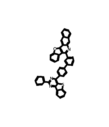 c1ccc(-c2nc(-c3ccc(-c4cccc(-c5nc6cc7ccccc7cc6c6oc7ccccc7c56)c4)cc3)c3sc4ccccc4c3n2)cc1